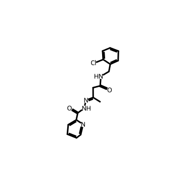 C/C(CC(=O)NCc1ccccc1Cl)=N\NC(=O)c1ccccn1